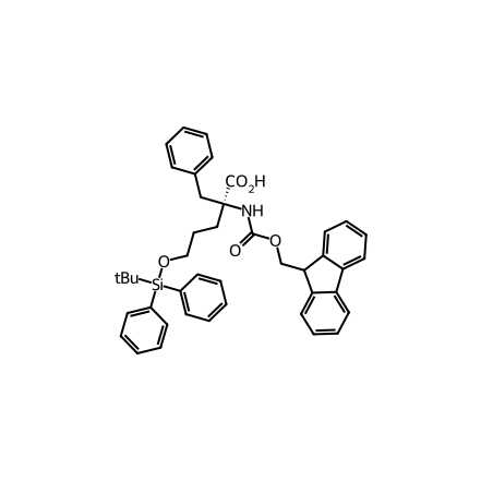 CC(C)(C)[Si](OCCC[C@@](Cc1ccccc1)(NC(=O)OCC1c2ccccc2-c2ccccc21)C(=O)O)(c1ccccc1)c1ccccc1